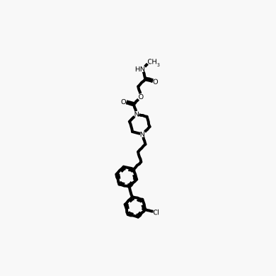 CNC(=O)COC(=O)N1CCN(CCCc2cccc(-c3cccc(Cl)c3)c2)CC1